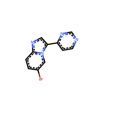 Brc1ccc2ncc(-c3ccncn3)n2c1